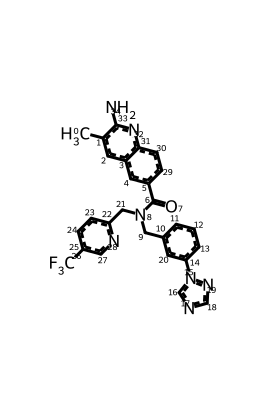 Cc1cc2cc(C(=O)N(Cc3cccc(-n4cncn4)c3)Cc3ccc(C(F)(F)F)cn3)ccc2nc1N